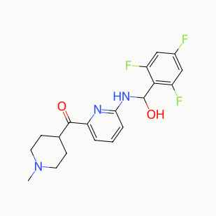 CN1CCC(C(=O)c2cccc(NC(O)c3c(F)cc(F)cc3F)n2)CC1